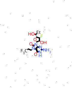 CCC(O)[C@H]1O[C@@H](n2c(=O)n(CCC(F)(F)F)c3c(=O)[nH]c(N)nc32)[C@H](O)[C@H]1F